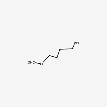 CCCCCCCOC=O